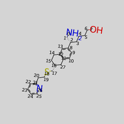 NC[C@H](CCCCO)c1ccc2c(c1)CC[C@@H](CSCCc1ccccn1)C2